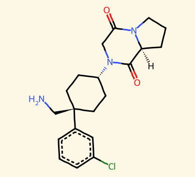 NC[C@]1(c2cccc(Cl)c2)CC[C@@H](N2CC(=O)N3CCC[C@H]3C2=O)CC1